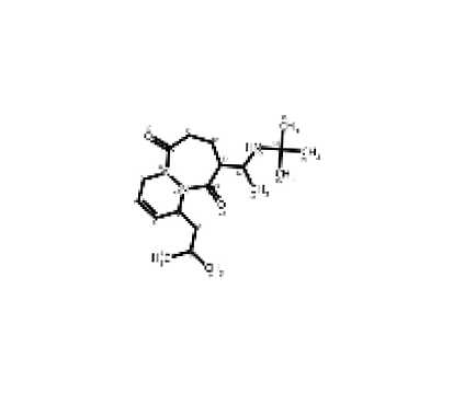 CC(C)CC1C=CCN2C(=O)CCC(C(C)NC(C)(C)C)C(=O)N12